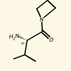 CC(C)[C@H](N)C(=O)N1CCC1